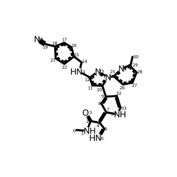 CNC(=O)/C(C=N)=C1\C=C(c2cc(NCc3ccc(C#N)cc3)nn2-c2cccc(C)n2)C=CN1